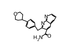 NC(=O)c1cc2cccnc2nc1Cc1ccc(C2CCOCC2)cc1